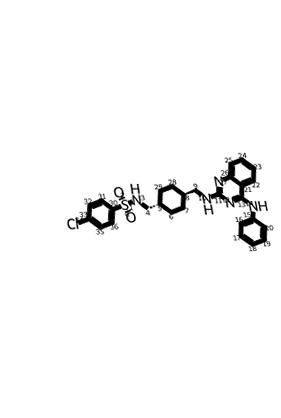 O=S(=O)(NC[C@H]1CC[C@H](CNc2nc(Nc3ccccc3)c3ccccc3n2)CC1)c1ccc(Cl)cc1